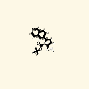 CC(C)(C)OC(=O)N1C(N)=CCC1c1ccc2cnccc2c1